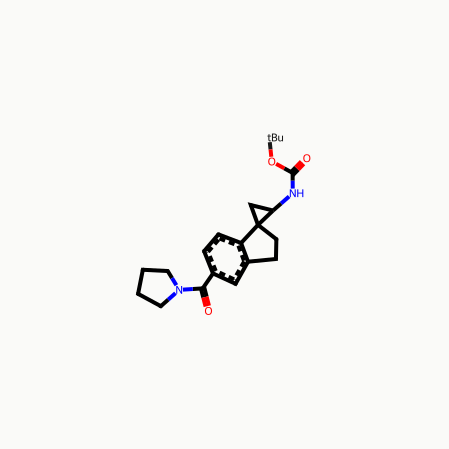 CC(C)(C)OC(=O)NC1CC12CCc1cc(C(=O)N3CCCC3)ccc12